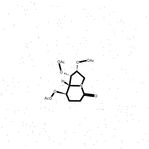 CC(=O)OO[C@H]1[C@H]2[C@H](OOC(C)=O)CCC(=O)N2C[C@H]1OOC(C)=O